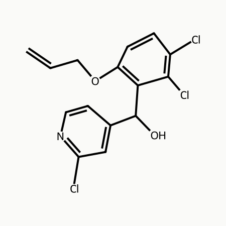 C=CCOc1ccc(Cl)c(Cl)c1C(O)c1ccnc(Cl)c1